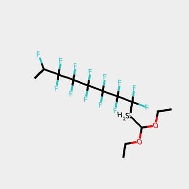 CCOC(OCC)[SiH2]C(F)(F)C(F)(F)C(F)(F)C(F)(F)C(F)(F)C(F)(F)C(C)F